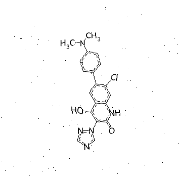 CN(C)c1ccc(-c2cc3c(O)c(-n4cncn4)c(=O)[nH]c3cc2Cl)cc1